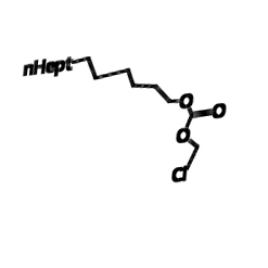 CCCCCCCCCCCCCOC(=O)OCCl